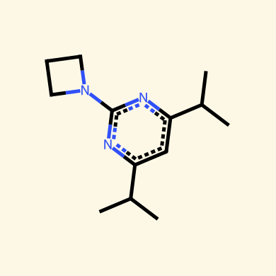 CC(C)c1cc(C(C)C)nc(N2CCC2)n1